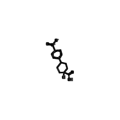 O=C(O)C1(Cl)CCC(c2ccc([N+](=O)[O-])cc2)CC1